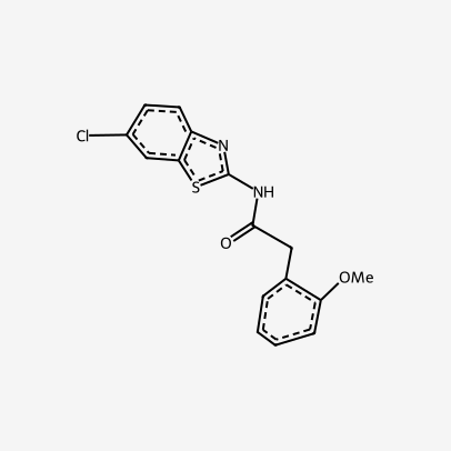 COc1ccccc1CC(=O)Nc1nc2ccc(Cl)cc2s1